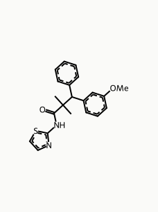 COc1cccc(C(c2ccccc2)C(C)(C)C(=O)Nc2nccs2)c1